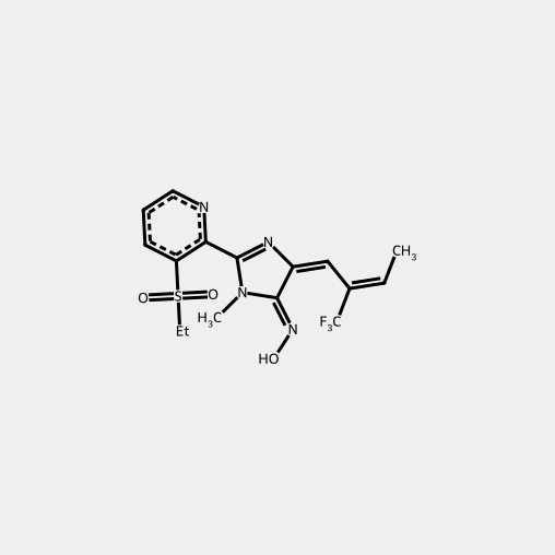 C\C=C(/C=C1/N=C(c2ncccc2S(=O)(=O)CC)N(C)/C1=N\O)C(F)(F)F